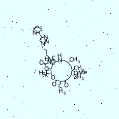 B[C@@H]1CC(=O)[C@@H](C)C(=O)O[C@H](CC)[C@@]2(C)OC(=O)N(CCCCn3cc(-c4nccs4)nn3)[C@@H]2[C@@H](C)NC[C@H](C)C[C@@]1(C)OC